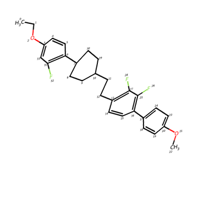 CCOc1ccc(C2CCC(CCc3ccc(-c4ccc(OC)cc4)c(F)c3F)CC2)c(F)c1